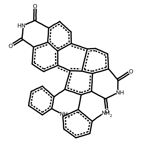 Nc1ccccc1-c1c2c3c(ccc4c5ccc6c7c(ccc(c(c1-c1ccccc1N)c34)c75)C(=O)NC6=O)C(=O)NC2=O